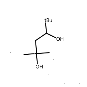 CC(C)(O)CC(O)C(C)(C)C